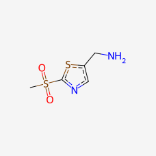 CS(=O)(=O)c1ncc(CN)s1